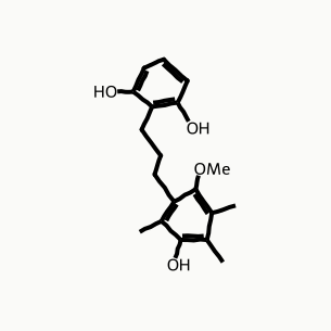 COc1c(C)c(C)c(O)c(C)c1CCCc1c(O)cccc1O